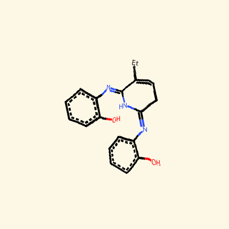 CCC1=CCC(=Nc2ccccc2O)NC1=Nc1ccccc1O